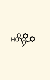 CCO/C(=C/c1ccccc1)c1ccccc1C(C)C(=O)O